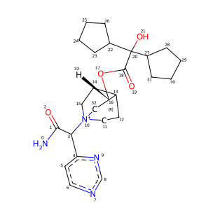 NC(=O)C(c1ccncn1)[N+]12CCC(CC1)[C@@H](OC(=O)C(O)(C1CCCC1)C1CCCC1)C2